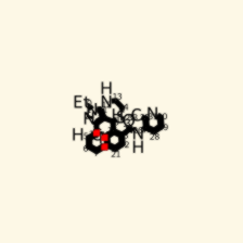 CCn1nc(-c2ccccn2)c2c1NCCSC2c1c(C)cccc1C(=O)Nc1cccnc1C